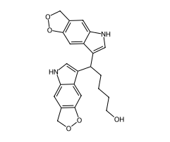 OCCCCC(c1c[nH]c2cc3c(cc12)OOC3)c1c[nH]c2cc3c(cc12)OOC3